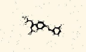 NC(=O)Cc1cc(=O)oc2cc(OCc3cccc(F)c3)ccc12